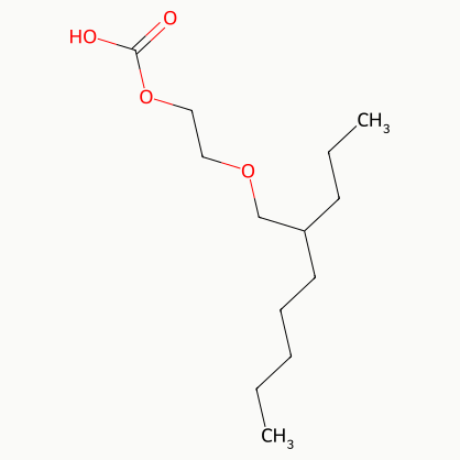 CCCCCC(CCC)COCCOC(=O)O